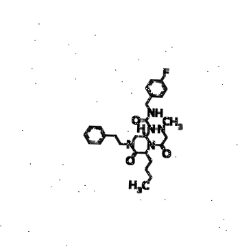 CCCC[C@H]1C(=O)N(CCc2ccccc2)C[C@H]2N1C(=O)CN(C)N2C(=O)NCc1ccc(F)cc1